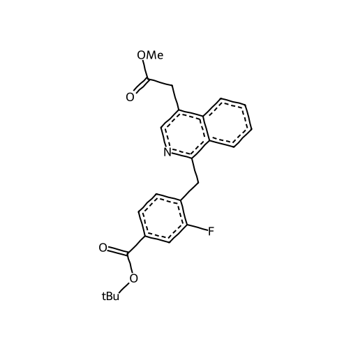 COC(=O)Cc1cnc(Cc2ccc(C(=O)OC(C)(C)C)cc2F)c2ccccc12